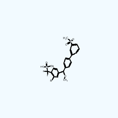 COC(c1ccc(-c2cccc(S(C)(=O)=O)c2)cc1)c1ccc(C(F)(F)P(=O)(O)O)c(Br)c1